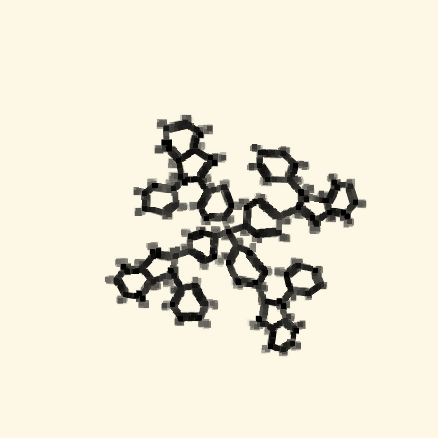 c1ccc(-n2c(-c3ccc(C(c4ccc(-c5nc6nccnc6n5-c5ccccc5)cc4)(c4ccc(-c5nc6nccnc6n5-c5ccccc5)cc4)c4ccc(-c5nc6nccnc6n5-c5ccccc5)cc4)cc3)nc3cccnc32)cc1